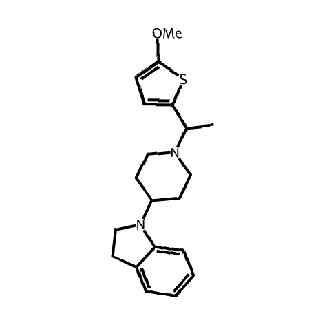 COc1ccc(C(C)N2CCC(N3CCc4ccccc43)CC2)s1